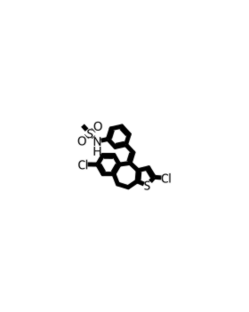 CS(=O)(=O)Nc1cccc(/C=C2\c3ccc(Cl)cc3CCc3sc(Cl)cc32)c1